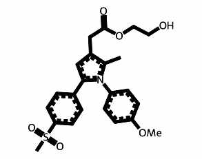 COc1ccc(-n2c(-c3ccc(S(C)(=O)=O)cc3)cc(CC(=O)OCCO)c2C)cc1